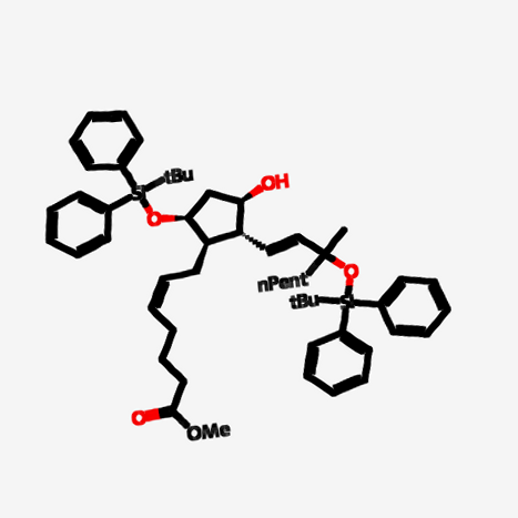 CCCCCC(C)(/C=C/[C@@H]1[C@@H](C/C=C\CCCC(=O)OC)[C@@H](O[Si](c2ccccc2)(c2ccccc2)C(C)(C)C)C[C@H]1O)O[Si](c1ccccc1)(c1ccccc1)C(C)(C)C